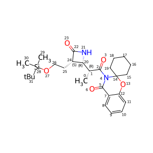 C[C@@H](C(=O)N1C(=O)c2ccccc2OC12CCCCC2)[C@H]1NC(=O)[C@H]1CCO[Si](C)(C)C(C)(C)C